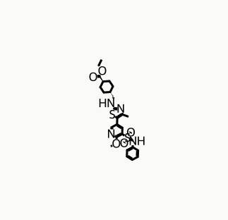 CCOC(=O)[C@H]1CC[C@H](CNc2nc(C)c(-c3cnc(OC)c(S(=O)(=O)Nc4ccccc4)c3)s2)CC1